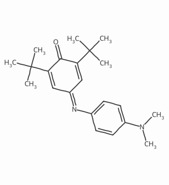 CN(C)c1ccc(N=C2C=C(C(C)(C)C)C(=O)C(C(C)(C)C)=C2)cc1